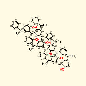 CC(c1ccccc1)c1ccc(O)c(Cc2cc(C(C)c3ccccc3)cc(Cc3cc(C(C)c4ccccc4)cc(Cc4cc(C(C)c5ccccc5)cc(Cc5cc(C(C)c6ccccc6)cc(Cc6cc(C(C)c7ccccc7)ccc6O)c5O)c4O)c3O)c2O)c1